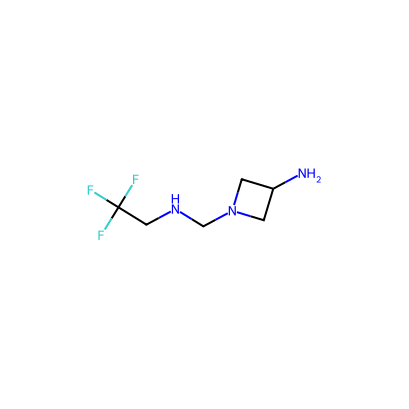 NC1CN(CNCC(F)(F)F)C1